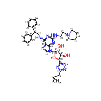 C=CCn1nnc([C@H]2O[C@@H](n3cnc4c(NCC(c5ccccc5)c5ccccc5)nc(NCCN5CCCCC5)nc43)[C@H](O)[C@@H]2O)n1